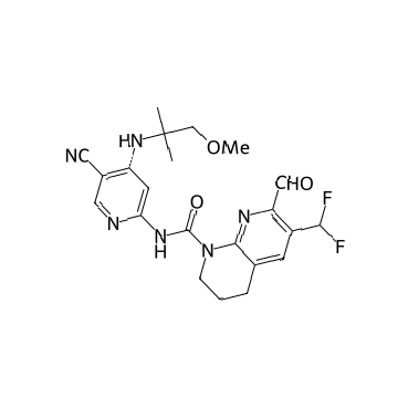 COCC(C)(C)Nc1cc(NC(=O)N2CCCc3cc(C(F)F)c(C=O)nc32)ncc1C#N